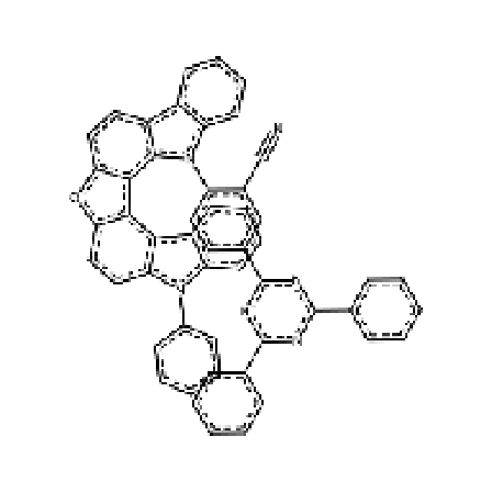 N#Cc1cc(-c2nc(-c3ccccc3)nc(-c3ccccc3)n2)ccc1-n1c2ccccc2c2ccc3oc4ccc5c(c6ccccc6n5-c5ccccc5)c4c3c21